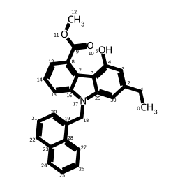 CCc1cc(O)c2c3c(C(=O)OC)cccc3n(Cc3cccc4ccccc34)c2c1